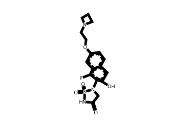 O=C1CN(c2c(O)cc3ccc(OCCN4CCC4)cc3c2F)S(=O)(=O)N1